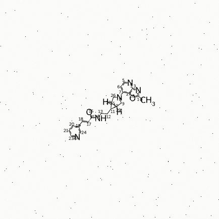 Cc1nc2nccc(N3C[C@@H]4C(CCNC(=O)/C=C/c5cccnc5)[C@@H]4C3)c2o1